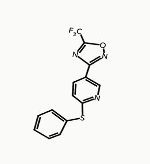 FC(F)(F)c1nc(-c2ccc(Sc3ccccc3)nc2)no1